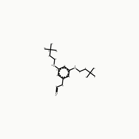 CC(C)(C)CCOc1cc(CC=O)cc(OCCC(C)(C)C)c1